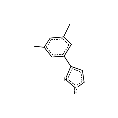 Cc1cc(C)cc(-c2cc[nH]n2)c1